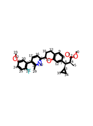 COC(=O)[C@@H](C)[C@H](c1ccc2c(c1)OC(c1ccc(-c3cc(OC)ccc3F)c(C)n1)CC2)C1CC1